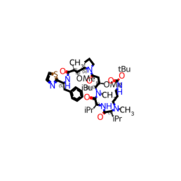 CC[C@H](C)[C@@H]([C@@H](CC(=O)N1CCC[C@H]1[C@H](OC)[C@@H](C)C(=O)N[C@@H](Cc1ccccc1)c1nccs1)OC)N(C)C(=O)[C@@H](NC(=O)[C@H](C(C)C)N(C)CCCNC(=O)OC(C)(C)C)C(C)C